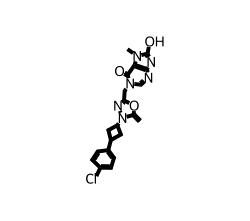 C=C1OC(Cn2cnc3nc(O)n(C)c3c2=O)=NN1C1CC(c2ccc(Cl)cc2)C1